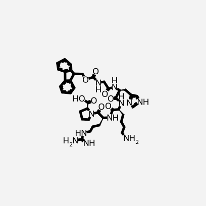 N=C(N)NCCC[C@H](NC(=O)[C@H](CCCCN)NC(=O)[C@H](Cc1c[nH]cn1)NC(=O)CNC(=O)OCC1c2ccccc2-c2ccccc21)C(=O)N1CCC[C@H]1C(=O)O